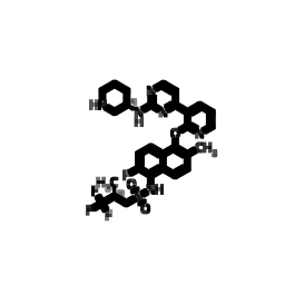 Cc1ccc2c(NS(=O)(=O)C[C@@H](C)C(F)(F)F)c(F)ccc2c1Oc1ncccc1-c1ccnc(N[C@H]2CCCNC2)n1